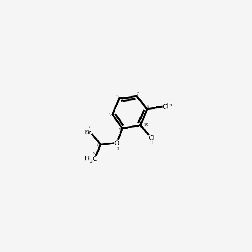 CC(Br)Oc1cccc(Cl)c1Cl